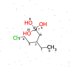 CCC(CCCl)C[Si](O)(O)O